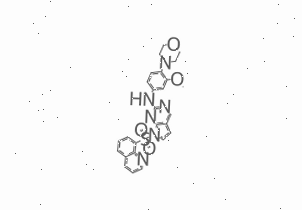 COc1cc(Nc2ncc3ccn(S(=O)(=O)c4cccc5cccnc45)c3n2)ccc1N1CCOCC1